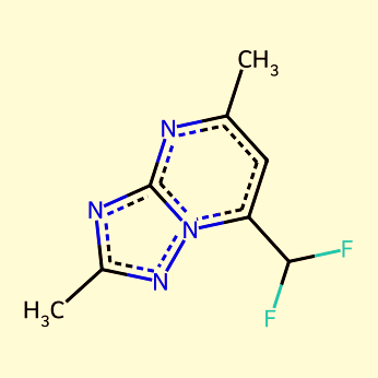 Cc1cc(C(F)F)n2nc(C)nc2n1